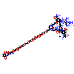 CN/C=C(\NN)C(=O)Nc1nc2cc(C(N)=O)cc(OCCCN3CCN(CCOCCOCCOCCOCCOCCOCCOCCOCCOCCOCCNC(=O)CN4C(=O)C=CC4=O)CC3)c2n1C/C=C/Cn1c(NC(=O)/C(N)=C/N(C)N)nc2cc(C(N)=O)cc(OC)c21